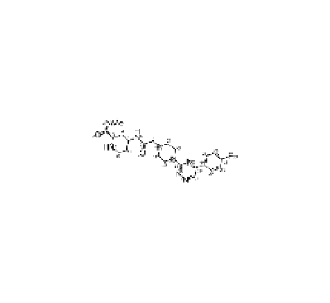 CNC(=O)[C@H]1C[C@@H](NC(=O)CN2CCN(c3nncc(-c4ccc(F)cc4)n3)CC2)CCN1